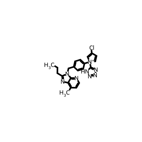 CCCc1nc2c(C)ccnc2n1Cc1ccc([N+]2(c3nnn[nH]3)C=CC(Cl)=C2)cc1